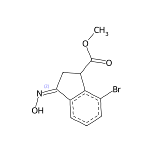 COC(=O)C1C/C(=N/O)c2cccc(Br)c21